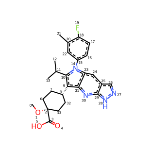 CO[C@]1(C(=O)O)CC[C@H](c2c(C(C)C)n(-c3ccc(F)c(C)c3)c3cc4cn[nH]c4nc32)CC1